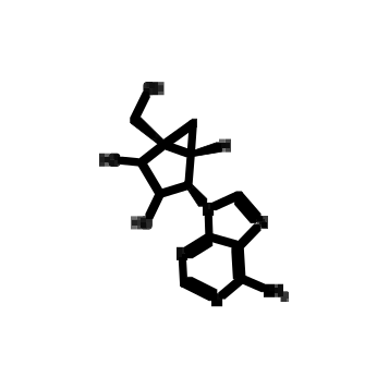 Nc1ncnc2c1ncn2[C@H]1C(O)C(O)[C@]2(CO)C[C@H]12